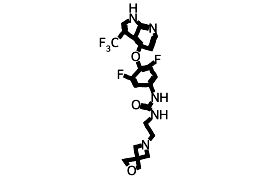 O=C(NCCN1CC2(COC2)C1)Nc1cc(F)c(Oc2ccnc3[nH]cc(C(F)(F)F)c23)c(F)c1